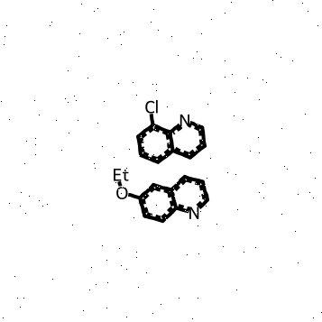 CCOc1ccc2ncccc2c1.Clc1cccc2cccnc12